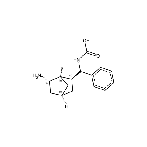 N[C@H]1C[C@H]2C[C@@H]1[C@@H](C(NC(=O)O)c1ccccc1)C2